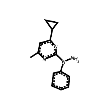 Cc1cc(C2CC2)nc(N(N)c2ccccc2)n1